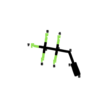 C#CCC(F)(F)C(F)(F)F